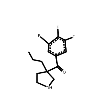 CCCC1(C(=O)c2cc(F)c(F)c(F)c2)CCNC1